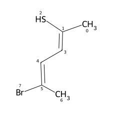 C/C(S)=C/C=C(\C)Br